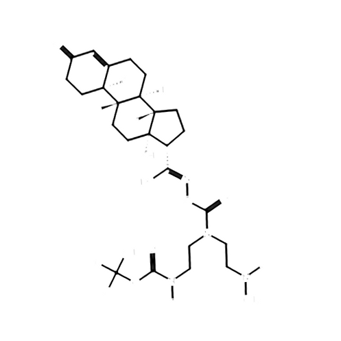 C/C(=N\OC(=O)N(CCN(C)C)CCN(C)C(=O)OC(C)(C)C)[C@H]1CC[C@H]2[C@@H]3CCC4=CC(=O)CC[C@]4(C)[C@H]3CC[C@]12C